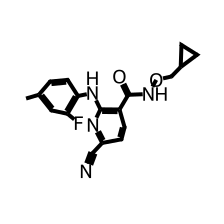 Cc1ccc(Nc2nc(C#N)ccc2C(=O)NOCC2CC2)c(F)c1